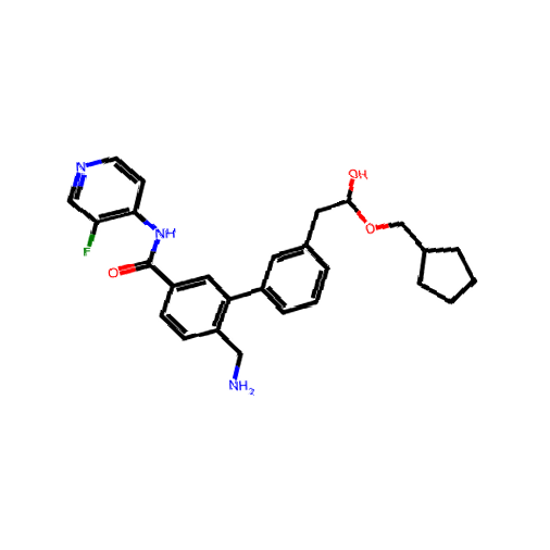 NCc1ccc(C(=O)Nc2ccncc2F)cc1-c1cccc(CC(O)OCC2CCCC2)c1